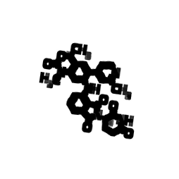 Cc1cc(-c2cc3c(cc2Nc2cccc4c2C(=O)N([C@H]2CCC(=O)NC2=O)C4=O)N(C)C(=O)O[C@H]3C)ccn1